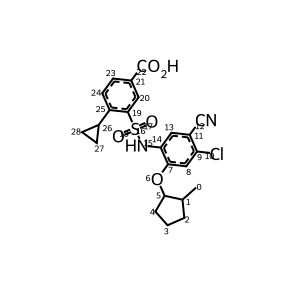 CC1CCCC1Oc1cc(Cl)c(C#N)cc1NS(=O)(=O)c1cc(C(=O)O)ccc1C1CC1